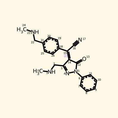 CNCC1=NN(c2ccccc2)C(=O)/C1=C(\C#N)c1ccc(CNC)cc1